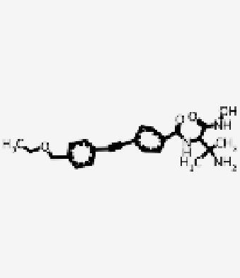 CCOCc1ccc(C#Cc2ccc(C(=O)NC(C(=O)NO)C(C)(C)N)cc2)cc1